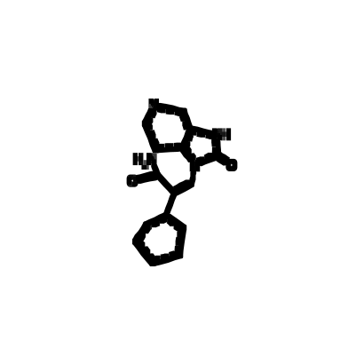 NC(=O)C(=Cn1c(=O)[nH]c2cnccc21)c1ccccc1